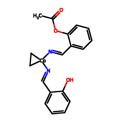 CC(=O)Oc1ccccc1C=[N][Co]1([N]=Cc2ccccc2O)[CH2][CH2]1